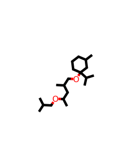 CC(C)COC(C)CC(C)COC1(C(C)C)CCCC(C)C1